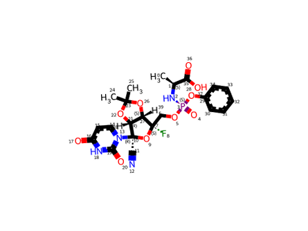 C[C@H](N[P@](=O)(OC[C@@]1(F)O[C@@](C#N)(n2ccc(=O)[nH]c2=O)[C@@H]2OC(C)(C)O[C@@H]21)Oc1ccccc1)C(=O)O